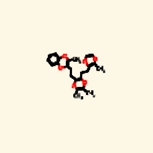 CC1=C(C)OC(CCC2=C(C)Oc3ccccc3O2)=C(CCC2=C(C)OC=CO2)O1